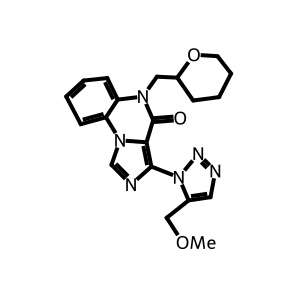 COCc1cnnn1-c1ncn2c1c(=O)n(CC1CCCCO1)c1ccccc12